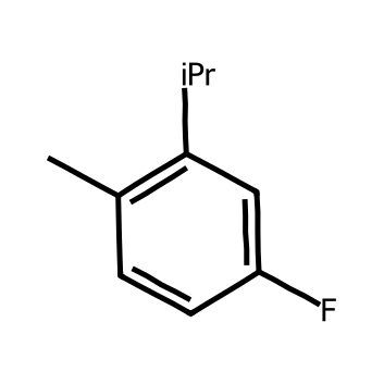 [CH2]C(C)c1cc(F)ccc1C